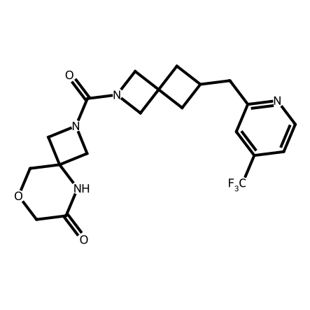 O=C1COCC2(CN(C(=O)N3CC4(CC(Cc5cc(C(F)(F)F)ccn5)C4)C3)C2)N1